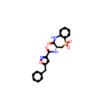 O=C(N[C@H]1CS(=O)(=O)c2ccccc2NC1=O)c1cc(Cc2ccccc2)on1